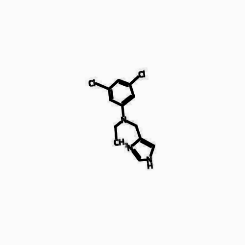 CCN(Cc1c[nH]cn1)c1cc(Cl)cc(Cl)c1